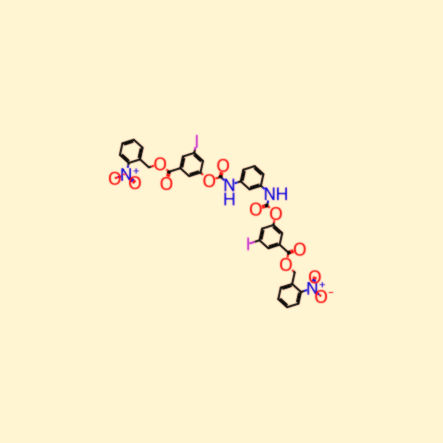 O=C(Nc1cccc(NC(=O)Oc2cc(I)cc(C(=O)OCc3ccccc3[N+](=O)[O-])c2)c1)Oc1cc(I)cc(C(=O)OCc2ccccc2[N+](=O)[O-])c1